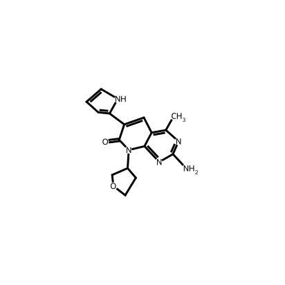 Cc1nc(N)nc2c1cc(-c1ccc[nH]1)c(=O)n2C1CCOC1